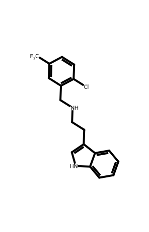 FC(F)(F)c1ccc(Cl)c(CNCCc2c[nH]c3ccccc23)c1